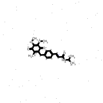 COC1=C(OC)C(=O)C(Cc2ccc(/C=C/C(=O)NC(C)C)cc2)=C(C)C1=O